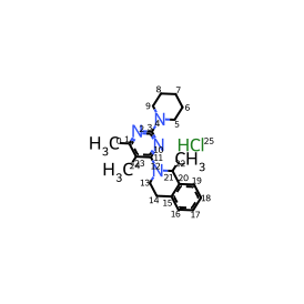 Cc1nc(N2CCCCC2)nc(N2CCc3ccccc3C2C)c1C.Cl